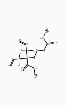 C=CC(C)(C)C(CCCC(=O)OO)(C(=O)OO)C(C)(C)C=C